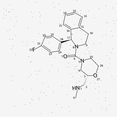 CNC[C@@H]1CN(C(=O)N2CCc3ccccc3[C@@H]2c2ccc(F)cc2)CCO1